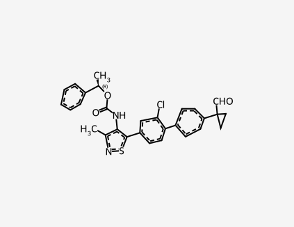 Cc1nsc(-c2ccc(-c3ccc(C4(C=O)CC4)cc3)c(Cl)c2)c1NC(=O)O[C@H](C)c1ccccc1